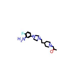 CC(=O)CN1CCC(CCN2CCN(c3ccc(F)c(N)c3)CC2)CC1